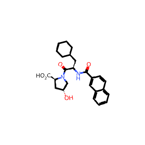 O=C(N[C@H](CC1CCCCC1)C(=O)N1C[C@H](O)C[C@H]1C(=O)O)c1ccc2ccccc2c1